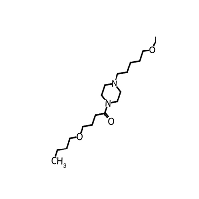 CCCCOCCCC(=O)N1CCN(CCCCCOI)CC1